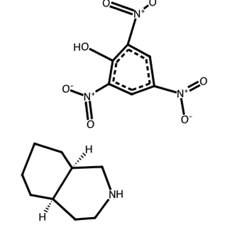 C1CC[C@H]2CNCC[C@H]2C1.O=[N+]([O-])c1cc([N+](=O)[O-])c(O)c([N+](=O)[O-])c1